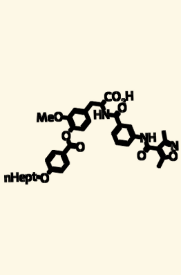 CCCCCCCOc1ccc(C(=O)Oc2ccc(CC(NC(=O)c3cccc(NC(=O)c4c(C)noc4C)c3)C(=O)O)cc2OC)cc1